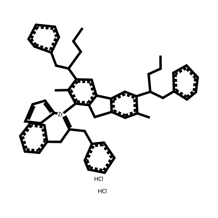 CCCC(Cc1ccccc1)c1cc2c(cc1C)Cc1c-2cc(C(CCC)Cc2ccccc2)c(C)[c]1[Zr]([C]1=CC=CC1)=[C](Cc1ccccc1)Cc1ccccc1.Cl.Cl